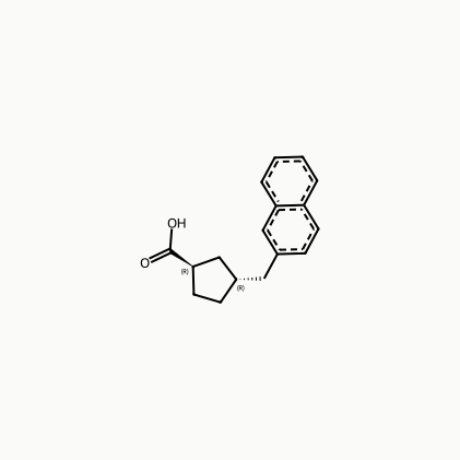 O=C(O)[C@@H]1CC[C@@H](Cc2ccc3ccccc3c2)C1